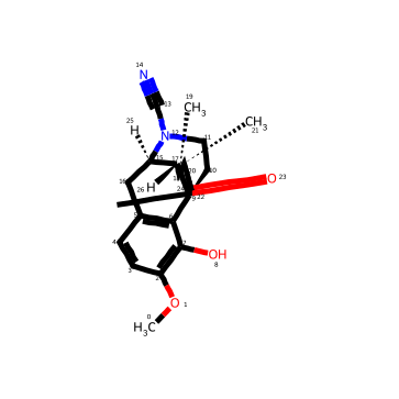 COc1ccc2c(c1O)[C@]13CCN(C#N)[C@H](C2)[C@@H]1[C@@H](C)[C@H](C)C(=O)C3